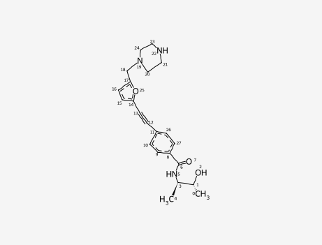 C[C@@H](O)[C@@H](C)NC(=O)c1ccc(C#Cc2ccc(CN3CCNCC3)o2)cc1